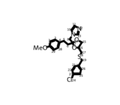 COc1ccc(CCC2(Cn3ccnc3)OCC(CSCc3ccc(Cl)cc3)O2)cc1